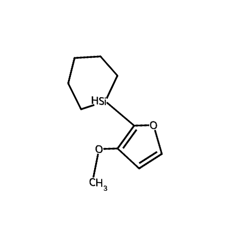 COc1ccoc1[SiH]1CCCCC1